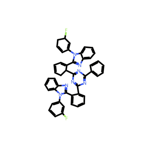 Fc1cccc(-n2c(-c3ccccc3-c3nc(-c4ccccc4)nc(C4CC=CC=C4c4nc5ccccc5n4C4=CC(F)CC=C4)n3)nc3ccccc32)c1